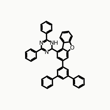 c1ccc(C2=NC(c3cc(-c4cc(-c5ccccc5)cc(-c5ccccc5)c4)cc4oc5ccccc5c34)NC(c3ccccc3)=N2)cc1